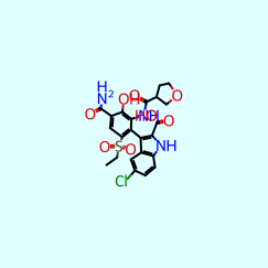 CCS(=O)(=O)c1cc(C(N)=O)c(O)c(NC(=O)C2CCOC2)c1-c1c(C(=O)O)[nH]c2ccc(Cl)cc12